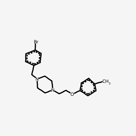 Cc1ccc(OCCN2CCN(Cc3ccc(Br)cc3)CC2)cc1